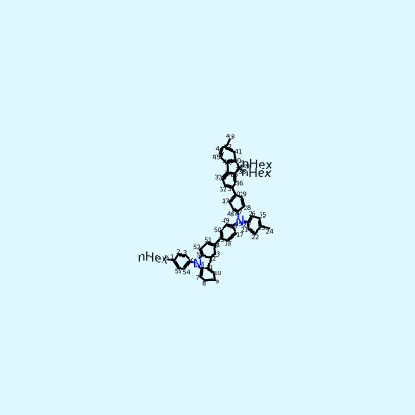 CCCCCCc1ccc(-n2c3ccccc3c3cc(-c4ccc(N(c5ccc(C)cc5)c5ccc(-c6ccc7c(c6)C(CCCCCC)(CCCCCC)c6cc(C)ccc6-7)cc5)cc4)ccc32)cc1